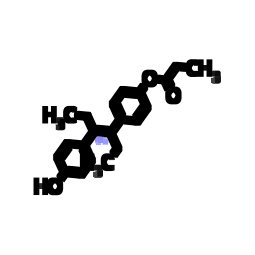 CCC(=O)Oc1ccc(/C(CC)=C(\CC)c2ccc(O)cc2)cc1